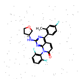 Cc1cc(F)ccc1-c1nc(N[C@H]2CCOC2)nc2c1ccc(=O)n2-c1c(F)cccc1F